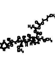 CCCCOC(=O)OC(C)OC(=O)C1=C(COC)CS[C@H]2C(NC(=O)C(=NOC)C(=O)COS(=O)(=O)c3ccccc3)C(=O)N12